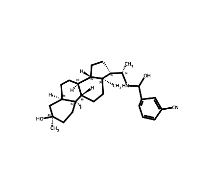 C[C@H](NC(O)c1cccc(C#N)c1)[C@H]1CC[C@H]2[C@@H]3CC[C@@H]4C[C@](C)(O)CC[C@@H]4[C@H]3CC[C@]12C